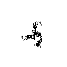 COc1ccc(CNc2nc(NCc3ccc(OC)cc3)nc(-n3ncc(C=CCN4CCN(c5cc(F)cc(Cl)c5)CC4)c3C)n2)cc1